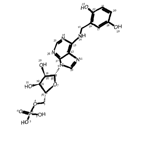 O=P(O)(O)OC[C@H]1O[C@@H](n2cnc3c(NCc4cc(O)ccc4O)ncnc32)[C@H](O)[C@@H]1O